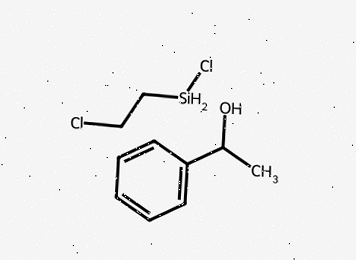 CC(O)c1ccccc1.ClCC[SiH2]Cl